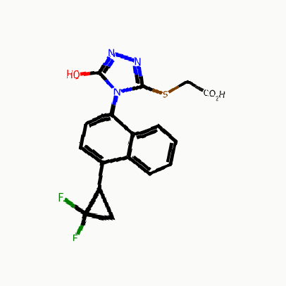 O=C(O)CSc1nnc(O)n1-c1ccc(C2CC2(F)F)c2ccccc12